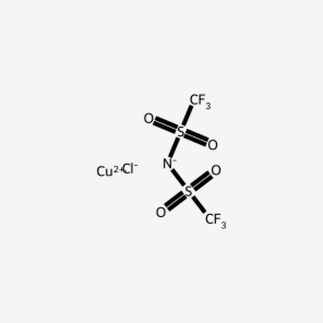 O=S(=O)([N-]S(=O)(=O)C(F)(F)F)C(F)(F)F.[Cl-].[Cu+2]